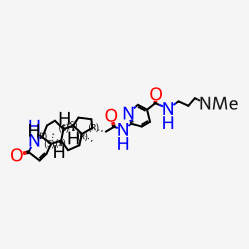 CNCCCNC(=O)c1ccc(NC(=O)C[C@H]2CC[C@H]3[C@@H]4CC[C@H]5NC(=O)C=C[C@]5(C)[C@H]4CC[C@]23C)nc1